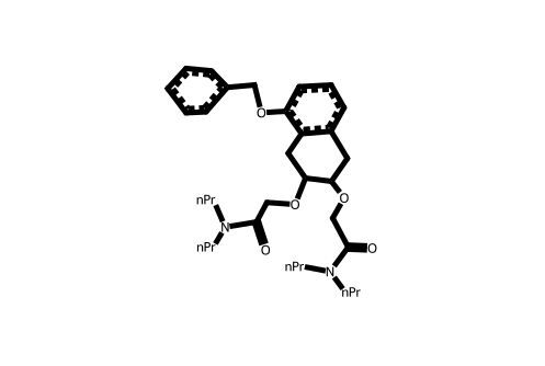 CCCN(CCC)C(=O)COC1Cc2cccc(OCc3ccccc3)c2CC1OCC(=O)N(CCC)CCC